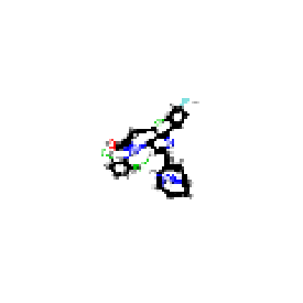 O=c1ccc2c(-c3ccc(F)cc3Cl)nc(C3=CC4CCC(C3)N4)cc2n1-c1c(Cl)cccc1Cl